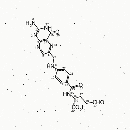 Nc1nc2ncc(CNc3ccc(C(=O)N[C@H](CCC=O)C(=O)O)cc3)nc2c(=O)[nH]1